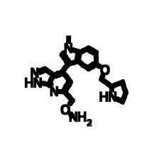 Cn1cc(-c2cc(CON)nc3[nH]ncc23)c2cc(OCC3CCCN3)ccc21